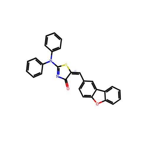 O=C1N=C(N(c2ccccc2)c2ccccc2)S/C1=C/c1ccc2oc3ccccc3c2c1